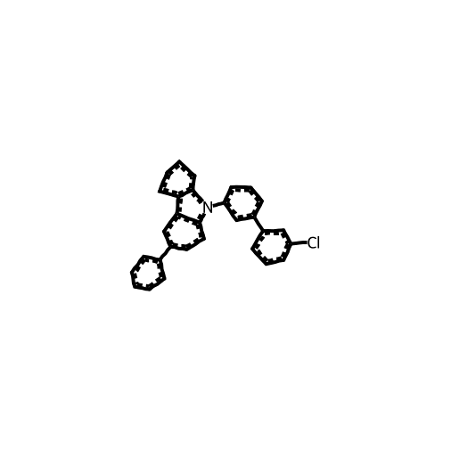 Clc1cccc(-c2cccc(-n3c4ccccc4c4cc(-c5ccccc5)ccc43)c2)c1